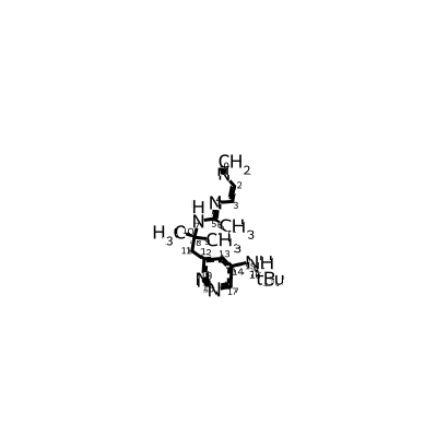 C=N/C=C\N=C(/C)NC(C)(C)Cc1cc(NC(C)(C)C)cnn1